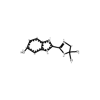 CCC1(CC)CN=C(c2nc3ccc(O)cc3s2)S1